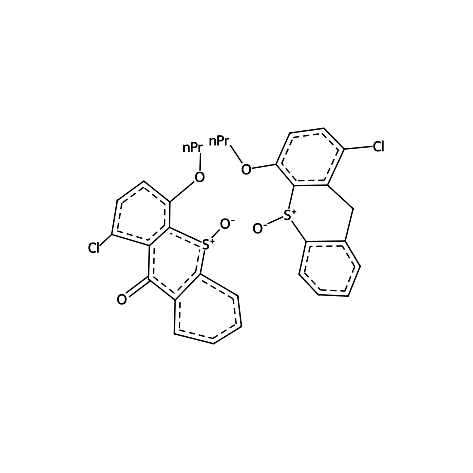 CCCOc1ccc(Cl)c2c(=O)c3ccccc3[s+]([O-])c12.CCCOc1ccc(Cl)c2c1[S+]([O-])c1ccccc1C2